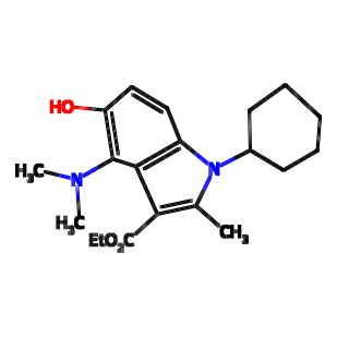 CCOC(=O)c1c(C)n(C2CCCCC2)c2ccc(O)c(N(C)C)c12